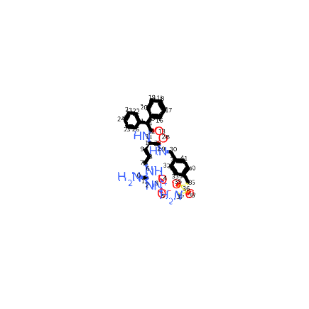 N/C(=N/[N+](=O)[O-])NCCC[C@@H](NC(=O)C(c1ccccc1)c1ccccc1)C(=O)NCc1ccc(CS(N)(=O)=O)cc1